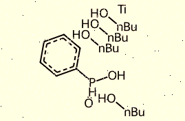 CCCCO.CCCCO.CCCCO.CCCCO.O=[PH](O)c1ccccc1.[Ti]